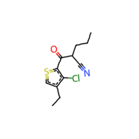 CCCC(C#N)C(=O)c1scc(CC)c1Cl